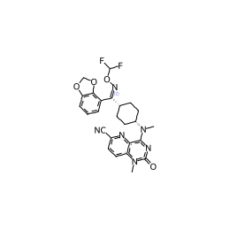 Cn1c(=O)nc(N(C)[C@H]2CC[C@@H](/C(=N/OC(F)F)c3cccc4c3OCO4)CC2)c2nc(C#N)ccc21